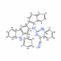 N#Cc1nc(-n2c3c4ccccc4ccc3c3cc4c5ccccc5n5c6ccccc6c(c32)c45)nc2ccccc12